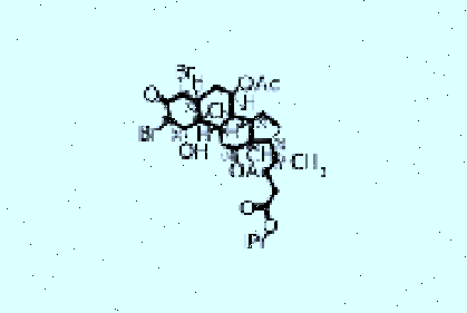 CC(=O)O[C@H]1C[C@H]2[C@@H]([C@H](OC(C)=O)C[C@@H]3[C@@H](Br)C(=O)[C@H](Br)[C@@H](O)[C@@]32C)[C@@H]2CC[C@H]([C@H](C)CCC(=O)OC(C)C)[C@@]12C